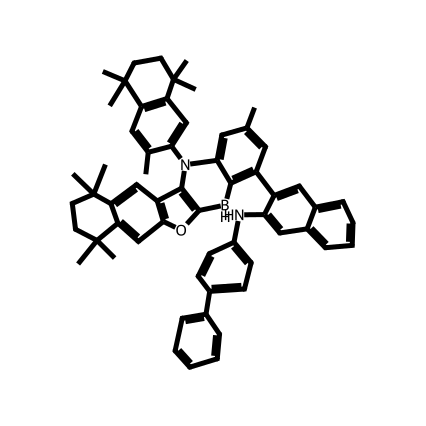 Cc1cc(-c2cc3ccccc3cc2Nc2ccc(-c3ccccc3)cc2)c2c(c1)N(c1cc3c(cc1C)C(C)(C)CCC3(C)C)c1c(oc3cc4c(cc13)C(C)(C)CCC4(C)C)B2